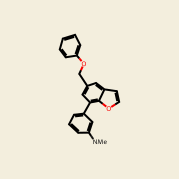 CNc1cccc(-c2cc(COc3ccccc3)cc3ccoc23)c1